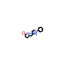 O=C1CCC(Cc2ccn(-c3ccccc3)n2)N1